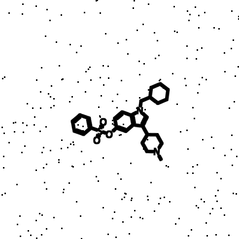 CN1CCC(c2cn(CC3CCCCC3)c3ccc(OS(=O)(=O)c4ccccc4)cc23)CC1